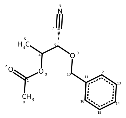 CC(=O)OC(C)[C@H](C#N)OCc1ccccc1